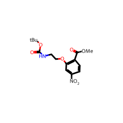 COC(=O)c1ccc([N+](=O)[O-])cc1OCCNC(=O)OC(C)(C)C